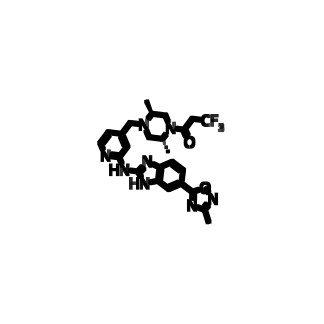 Cc1noc(-c2ccc3nc(Nc4cc(CN5C[C@@H](C)N(C(=O)CC(F)(F)F)C[C@@H]5C)ccn4)[nH]c3c2)n1